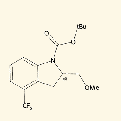 COC[C@@H]1Cc2c(cccc2C(F)(F)F)N1C(=O)OC(C)(C)C